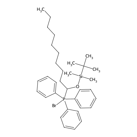 CCCCCCCCCC(O[Si](C)(C)C(C)(C)C)P(Br)(c1ccccc1)(c1ccccc1)c1ccccc1